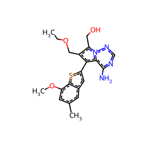 CCOCc1c(-c2cc3cc(C)cc(OC)c3s2)c2c(N)ncnn2c1CO